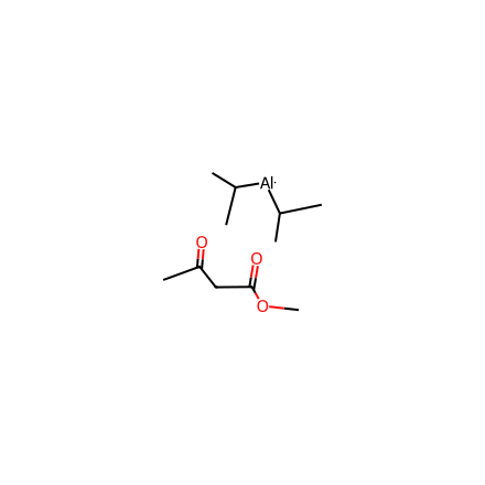 COC(=O)CC(C)=O.C[CH](C)[Al][CH](C)C